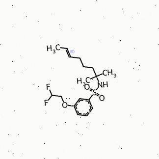 C/C=C/CCCC(C)(C)NS(=O)(=O)c1cccc(OCC(F)F)c1